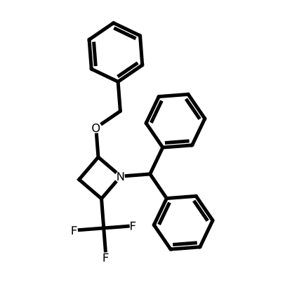 FC(F)(F)C1CC(OCc2ccccc2)N1C(c1ccccc1)c1ccccc1